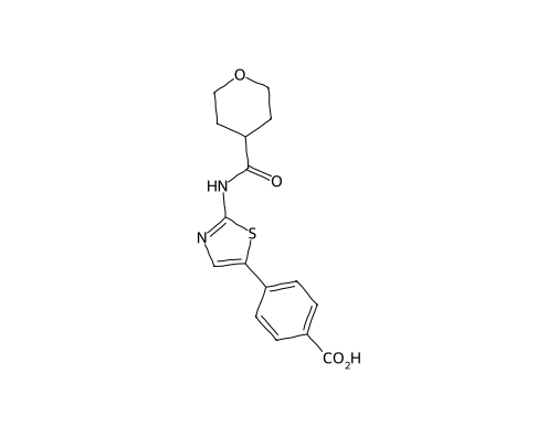 O=C(O)c1ccc(-c2cnc(NC(=O)C3CCOCC3)s2)cc1